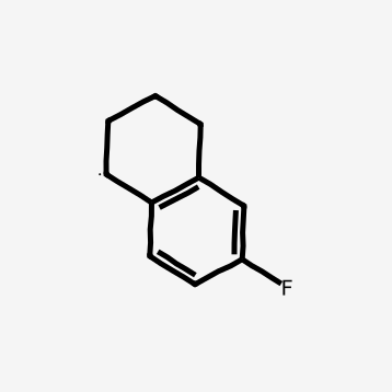 Fc1ccc2c(c1)CCC[CH]2